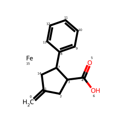 C=C1CC(C(=O)O)C(c2ccccc2)C1.[Fe]